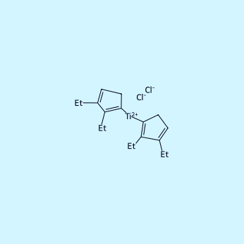 CCC1=CC[C]([Ti+2][C]2=C(CC)C(CC)=CC2)=C1CC.[Cl-].[Cl-]